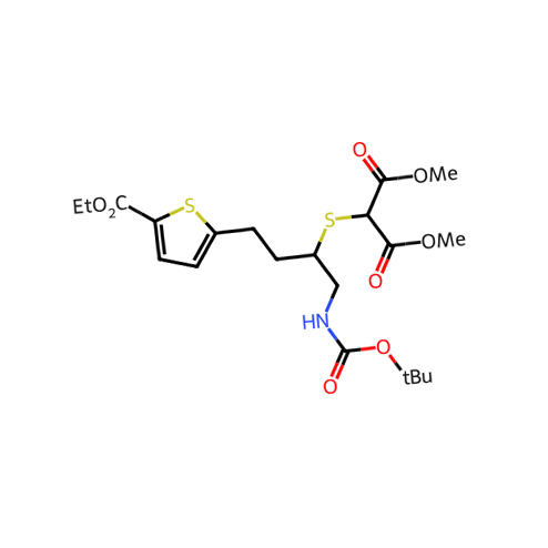 CCOC(=O)c1ccc(CCC(CNC(=O)OC(C)(C)C)SC(C(=O)OC)C(=O)OC)s1